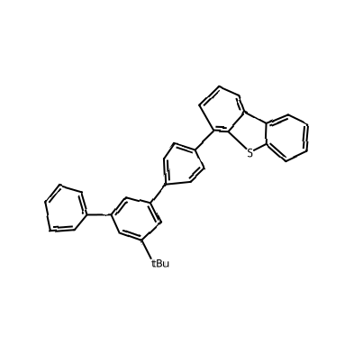 CC(C)(C)c1cc(-c2ccccc2)cc(-c2ccc(-c3cccc4c3sc3ccccc34)cc2)c1